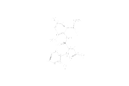 CNC(=O)c1cc(Cl)cc(C)c1NC(=O)C1CC(Br)=NN1c1ncccc1Cl